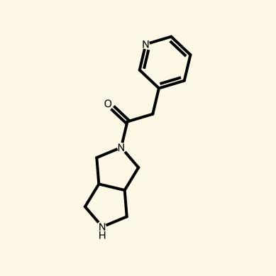 O=C(Cc1cccnc1)N1CC2CNCC2C1